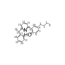 CCCCc1ccc(O)c(-c2cccc(C(C)c3ccccc3)n2)c1